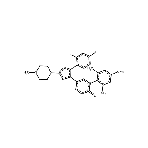 COc1cc(C)c(-n2cc(-c3nc(C4CCN(C)CC4)sc3-c3ccc(F)cc3F)ccc2=O)c(C)c1